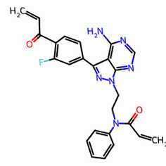 C=CC(=O)c1ccc(-c2nn(CCN(C(=O)C=C)c3ccccc3)c3ncnc(N)c23)cc1F